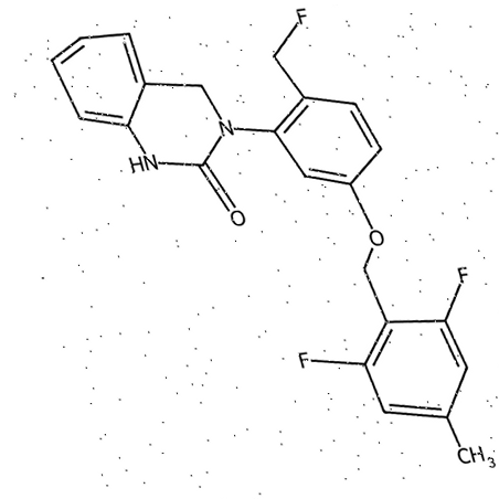 Cc1cc(F)c(COc2ccc(CF)c(N3Cc4ccccc4NC3=O)c2)c(F)c1